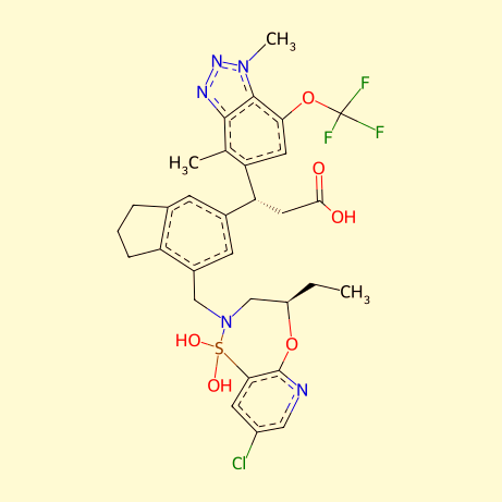 CC[C@@H]1CN(Cc2cc([C@@H](CC(=O)O)c3cc(OC(F)(F)F)c4c(nnn4C)c3C)cc3c2CCC3)S(O)(O)c2cc(Cl)cnc2O1